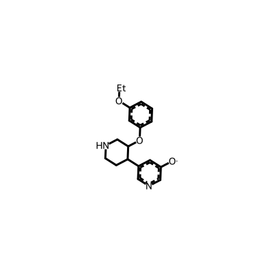 CCOc1cccc(OC2CNCCC2c2cncc([O])c2)c1